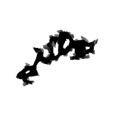 CC(C)n1cc(C(=O)Nc2cc3cc(-c4cncn4C(C)C)ncc3cn2)cn1